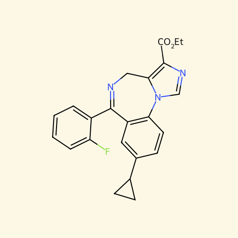 CCOC(=O)c1ncn2c1CN=C(c1ccccc1F)c1cc(C3CC3)ccc1-2